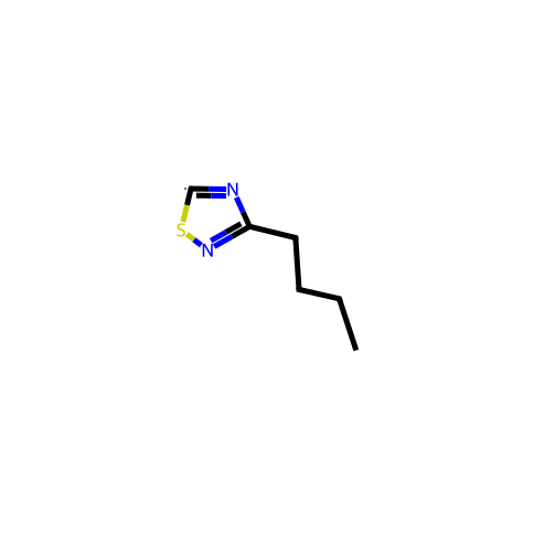 CCCCc1n[c]sn1